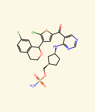 NS(=O)(=O)OC[C@@H]1CC[C@H](Nc2ncncc2C(=O)c2cc(C3OCCc4ccc(F)cc43)c(Cl)s2)C1